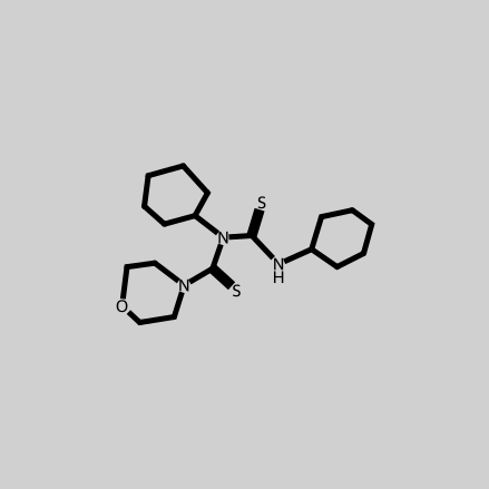 S=C(NC1CCCCC1)N(C(=S)N1CCOCC1)C1CCCCC1